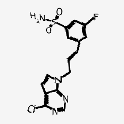 NS(=O)(=O)c1cc(F)cc(/C=C/Cn2ccc3c(Cl)ncnc32)c1